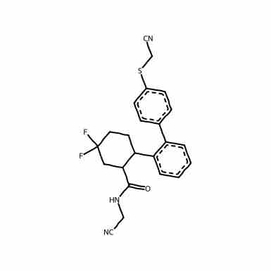 N#CCNC(=O)C1CC(F)(F)CCC1c1ccccc1-c1ccc(SCC#N)cc1